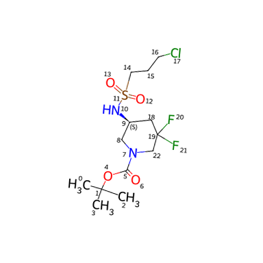 CC(C)(C)OC(=O)N1C[C@@H](NS(=O)(=O)CCCCl)CC(F)(F)C1